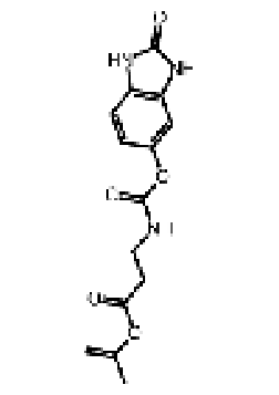 C=C(C)OC(=O)CCNC(=O)Oc1ccc2[nH]c(=O)[nH]c2c1